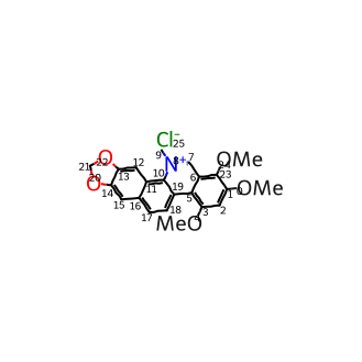 COc1cc(OC)c2c(c[n+](C)c3c4cc5c(cc4ccc23)OCO5)c1OC.[Cl-]